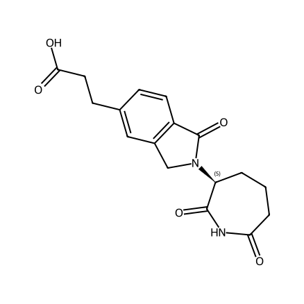 O=C(O)CCc1ccc2c(c1)CN([C@H]1CCCC(=O)NC1=O)C2=O